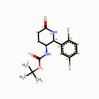 CC(C)(C)OC(=O)N[C@H]1CCC(=O)NC1c1cc(F)ccc1F